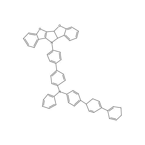 C1=CC(C2=CCC(c3ccc(N(c4ccccc4)c4ccc(-c5ccc(N6c7c(oc8ccccc78)C7Oc8ccccc8C76)cc5)cc4)cc3)C=C2)=CCC1